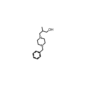 CC(CO)CN1CCN(Cc2ccccc2)CC1